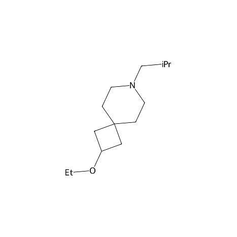 CCOC1CC2(CCN(CC(C)C)CC2)C1